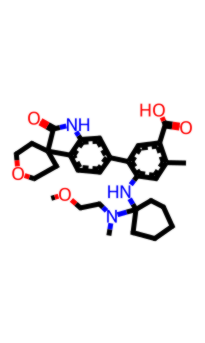 COCCN(C)C1(Nc2cc(C)c(C(=O)O)cc2-c2ccc3c(c2)NC(=O)C32CCOCC2)CCCCC1